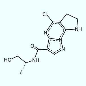 C[C@H](CO)NC(=O)c1cnn2c3c(c(Cl)nc12)CCN3